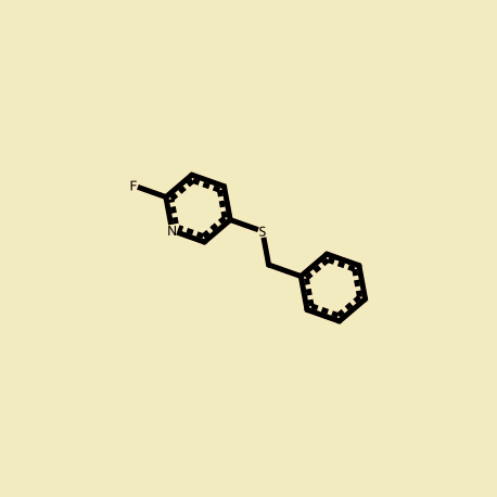 Fc1ccc(SCc2ccccc2)cn1